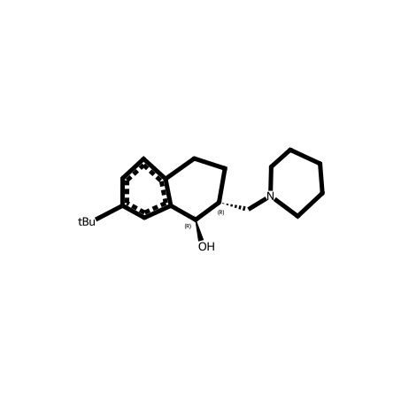 CC(C)(C)c1ccc2c(c1)[C@H](O)[C@@H](CN1CCCCC1)CC2